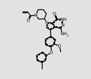 C=CC(=O)N1CCCC(n2cc(-c3ccc(Oc4cccc(C)c4)c(OC)c3)c3c(N)n[nH]c(=O)c32)C1